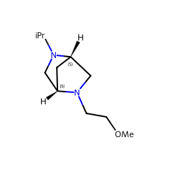 COCCN1C[C@@H]2C[C@H]1CN2C(C)C